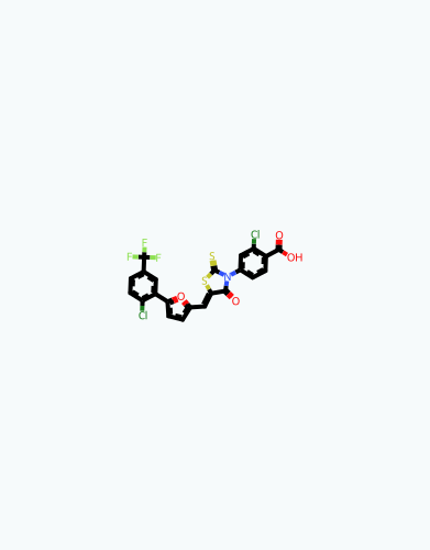 O=C(O)c1ccc(N2C(=O)C(=Cc3ccc(-c4cc(C(F)(F)F)ccc4Cl)o3)SC2=S)cc1Cl